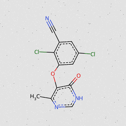 Cc1nc[nH]c(=O)c1Oc1cc(Cl)cc(C#N)c1Cl